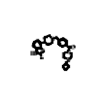 O=C(c1ccc(CN2CCC(c3cccc4[nH]c(=O)oc34)CC2)cc1)N1CCN(C2CCC2)CC1